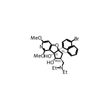 CCN(CC)C[C@H]1[C@@H](O)[C@@]2(O)c3c(cc(OC)nc3OC)O[C@@]2(c2ccc(Br)cc2)[C@@H]1c1ccccc1